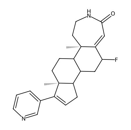 C[C@]12CCNC(=O)C=C1C(F)CC1C2CC[C@]2(C)C(c3cccnc3)=CCC12